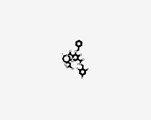 C[C@H]1CCC2(CC(Br)=NO2)[C@H]2CN1C(=O)c1c(OCc3ccccc3)c(=O)c(C(=O)NCc3c(F)cc(F)cc3F)cn12